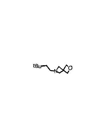 CC(C)(C)CCN1CC2(COC2)C1